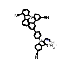 C/C=C\c1c(C)c2cc(C#N)ccc2n1C1C=CC(C2=CC(C3=C(n4c5ccccc5c5c(C#N)cccc54)CCC(C#N)=C3)CC=C2)=CC1